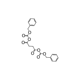 O=C(CCC(=O)OC(=O)OCc1ccccc1)OC(=O)OCc1ccccc1